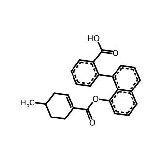 CC1CC=C(C(=O)Oc2cccc3cccc(-c4ccccc4C(=O)O)c23)CC1